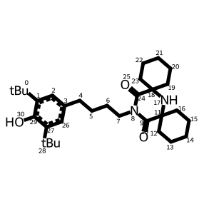 CC(C)(C)c1cc(CCCCN2C(=O)C3(CCCCC3)NC3(CCCCC3)C2=O)cc(C(C)(C)C)c1O